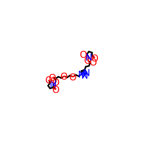 O=C(CCOCCOCCn1cc(CCC(=O)ON2C(=O)CCC2=O)nn1)ON1C(=O)CCC1=O